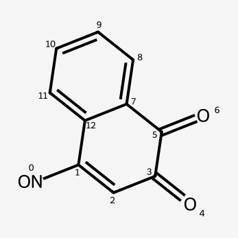 O=NC1=CC(=O)C(=O)c2ccccc21